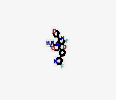 NC1=N[C@@]2(CCO1)c1cc(-c3cncc(F)c3)ccc1Oc1c2cc(C2=CCOCC2)nc1F